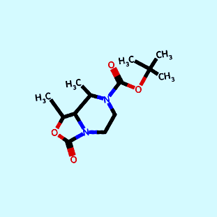 CC1OC(=O)N2CCN(C(=O)OC(C)(C)C)C(C)C12